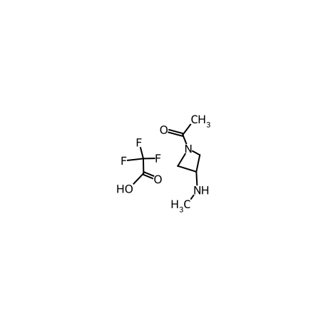 CNC1CN(C(C)=O)C1.O=C(O)C(F)(F)F